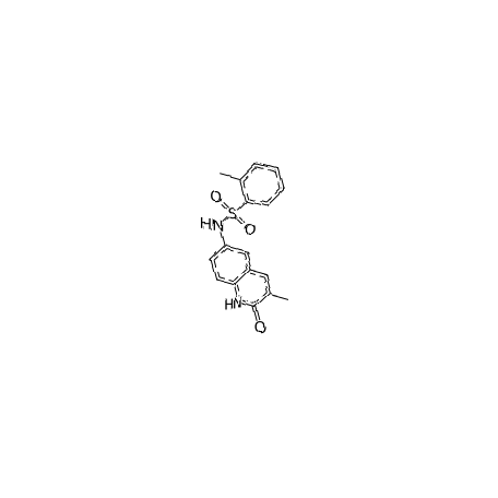 Cc1ccccc1S(=O)(=O)Nc1ccc2[nH]c(=O)c(C)cc2c1